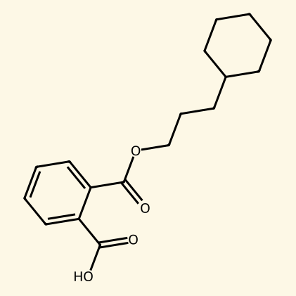 O=C(O)c1ccccc1C(=O)OCCCC1CCCCC1